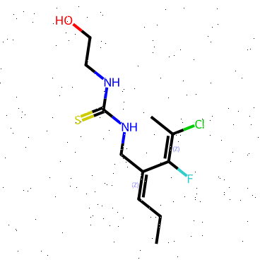 CC/C=C(CNC(=S)NCCO)\C(F)=C(/C)Cl